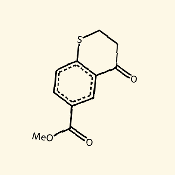 COC(=O)c1ccc2c(c1)C(=O)CCS2